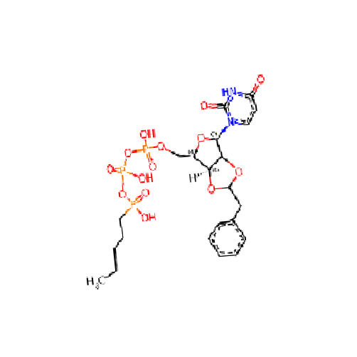 CCCCCP(=O)(O)OP(=O)(O)OP(=O)(O)OC[C@H]1O[C@@H](n2ccc(=O)[nH]c2=O)C2OC(Cc3ccccc3)O[C@H]21